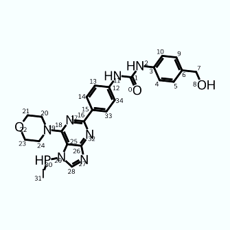 O=C(Nc1ccc(CO)cc1)Nc1ccc(-c2nc(N3CCOCC3)c3c(ncn3PI)n2)cc1